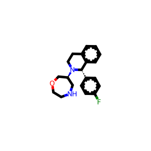 Fc1ccc([C@H]2c3ccccc3CCN2[C@H]2CNCCOC2)cc1